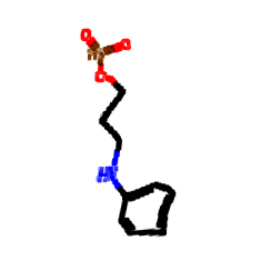 O=[SH](=O)OCCCNc1ccccc1